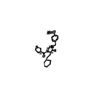 COc1ccc(CNC(=S)[C@@H](CCC2CCCCC2)NC(=O)[C@H]2CCSC2)cc1